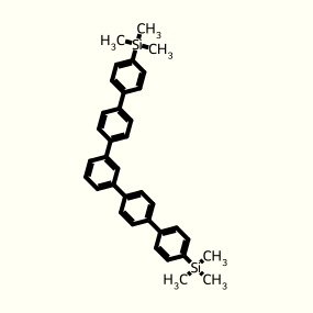 C[Si](C)(C)c1ccc(-c2ccc(-c3cccc(-c4ccc(-c5ccc([Si](C)(C)C)cc5)cc4)c3)cc2)cc1